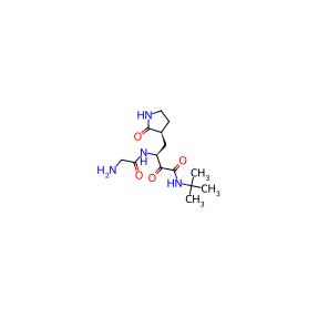 CC(C)(C)NC(=O)C(=O)[C@H](C[C@@H]1CCNC1=O)NC(=O)CN